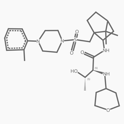 Cc1ccccc1N1CCN(S(=O)(=O)CC23CCC(CC2NC(=O)[C@@H](NC2CCOCC2)[C@H](C)O)C3(C)C)CC1